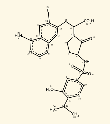 Cc1cc(S(=O)(=O)NC2CCN(C(Cc3cc4ccnc(N)c4cc3F)C(=O)O)C2=O)cnc1N(C)C